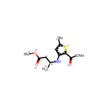 COC(=O)c1sc(C(C)(C)C)cc1N[C@@H](C)CC(=O)OC(C)(C)C